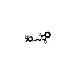 CC1(C)C[C@H](CCCN2C(=O)c3ccccc3C2=O)CN1